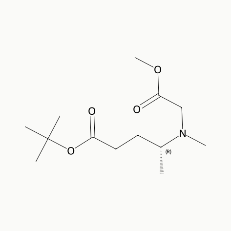 COC(=O)CN(C)[C@H](C)CCC(=O)OC(C)(C)C